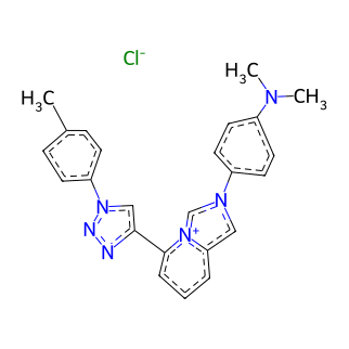 Cc1ccc(-n2cc(-c3cccc4cn(-c5ccc(N(C)C)cc5)c[n+]34)nn2)cc1.[Cl-]